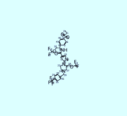 CCS(=O)(=O)c1ccc([C@H](COC(F)F)NC(=O)c2cnc(N3CCN(Cc4ccc(C(F)(F)F)cc4)CC3COC(F)F)s2)cc1